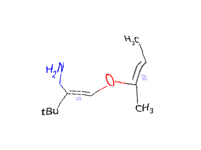 C/C=C(/C)O/C=C(\N)C(C)(C)C